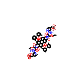 CCCOCC(C(=O)Nc1cc(C[Si](OC)(OC)OC)ccn1)N1C(=O)c2cc(Oc3ccccc3C)c3c4c(Oc5ccccc5C)cc5c6c(cc(Oc7ccccc7C)c(c7c(Oc8ccccc8C)cc(c2c37)C1=O)c64)C(=O)N(C(COCC)C(=O)Nc1cc(C[Si](OC)(OC)OC)ccn1)C5=O